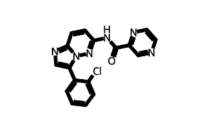 O=C(Nc1ccc2ncc(-c3ccccc3Cl)n2n1)c1cnccn1